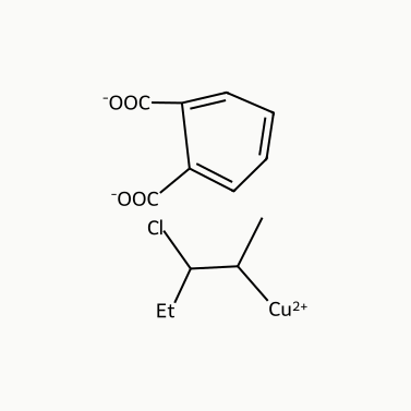 CCC(Cl)[CH](C)[Cu+2].O=C([O-])c1ccccc1C(=O)[O-]